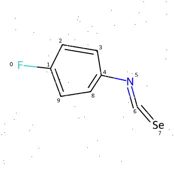 Fc1ccc(N=C=[Se])cc1